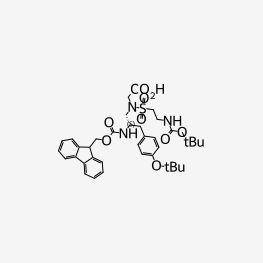 CC(C)(C)OC(=O)NCCS(=O)(=O)N(CC(=O)O)C[C@H](Cc1ccc(OC(C)(C)C)cc1)NC(=O)OCC1c2ccccc2-c2ccccc21